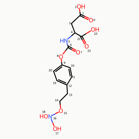 O=C(O)CC(NC(=O)Oc1ccc(CCON(O)O)cc1)C(=O)O